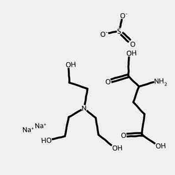 NC(CCC(=O)O)C(=O)O.O=S([O-])[O-].OCCN(CCO)CCO.[Na+].[Na+]